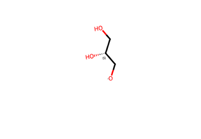 [O]C[C@H](O)CO